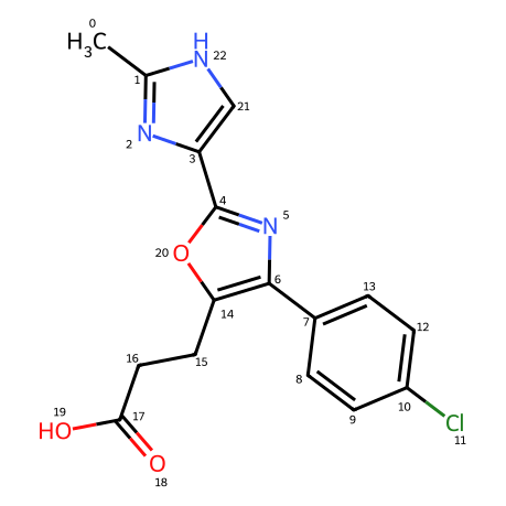 Cc1nc(-c2nc(-c3ccc(Cl)cc3)c(CCC(=O)O)o2)c[nH]1